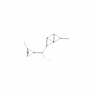 CC1=CC1C(O)C1C2C3C(C)C132